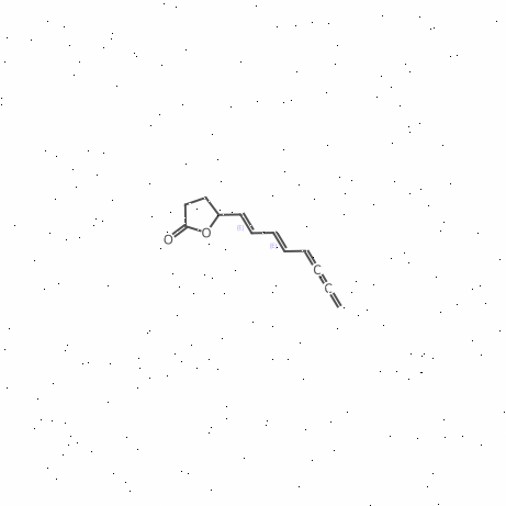 C=C=C=C/C=C/C=C/C1CCC(=O)O1